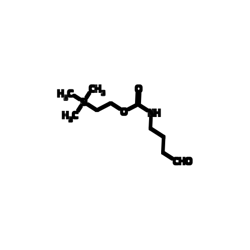 C[Si](C)(C)CCOC(=O)NCCCC=O